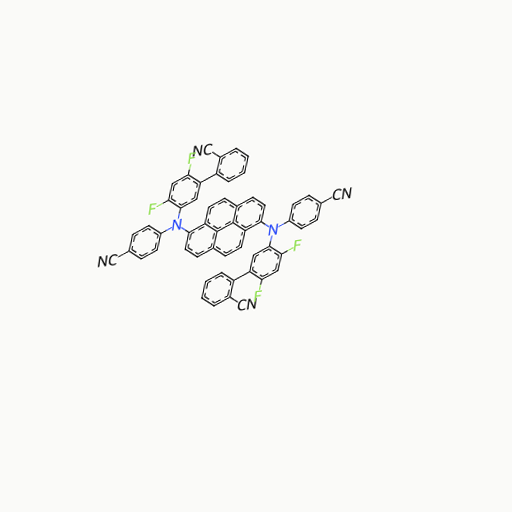 N#Cc1ccc(N(c2cc(-c3ccccc3C#N)c(F)cc2F)c2ccc3ccc4c(N(c5ccc(C#N)cc5)c5cc(-c6ccccc6C#N)c(F)cc5F)ccc5ccc2c3c54)cc1